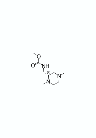 COC(=O)NC[C@@H]1CN(C)CCN1C